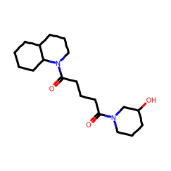 O=C(CCCC(=O)N1CCCC2CCCCC21)N1CCCC(O)C1